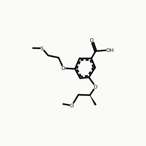 COC[C@H](C)Oc1cc(OCCSC)cc(C(=O)O)c1